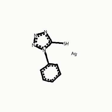 Sc1nnnn1-c1ccccc1.[Ag]